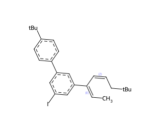 C/C=C(\C=C/CC(C)(C)C)c1cc(I)cc(-c2ccc(C(C)(C)C)cc2)c1